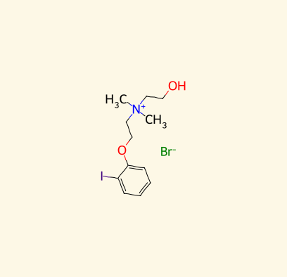 C[N+](C)(CCO)CCOc1ccccc1I.[Br-]